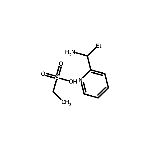 CCC(N)c1ccccn1.CCS(=O)(=O)O